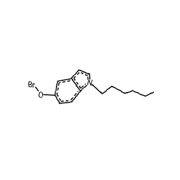 CCCCCCn1ccc2cc(OBr)ccc21